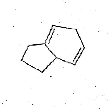 C1=CC2CCCC2=CC1